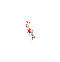 C=C(COc1c(OC)cc2sc(C(=O)CCC(=O)I)nc2c1F)COc1c(OC)cc2sc(C(=O)CCC(=O)OC)nc2c1F